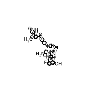 C#Cc1c(F)ccc2cc(O)cc(-c3ncc4c(N5CCCC(C)(N)C5)nc(OCC5(CN6CCN(CC7CCC8(CC7)CCN(C(=O)c7ccc(OC)c(N9CCC(=O)NC9=O)c7)CC8)CC6)CC5)nc4c3F)c12